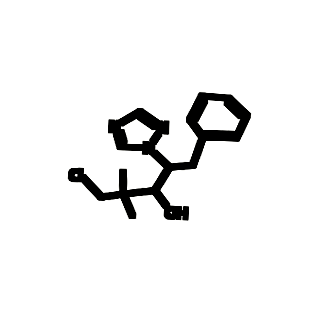 CC(C)(CCl)C(O)C(Cc1ccccc1)n1cncn1